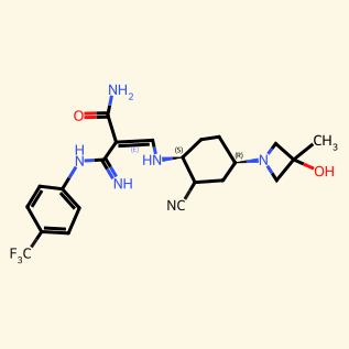 CC1(O)CN([C@@H]2CC[C@H](N/C=C(\C(=N)Nc3ccc(C(F)(F)F)cc3)C(N)=O)C(C#N)C2)C1